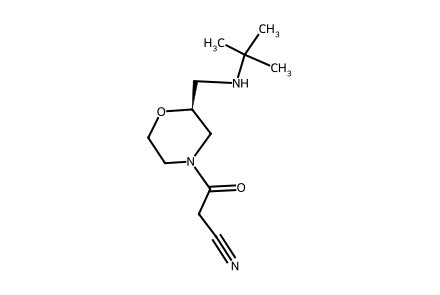 CC(C)(C)NC[C@H]1CN(C(=O)CC#N)CCO1